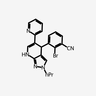 CCCn1cc2c(n1)NC=C(c1ccccn1)C2c1cccc(C#N)c1Br